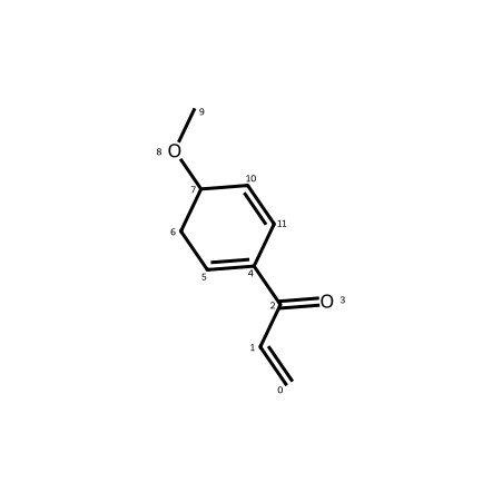 C=CC(=O)C1=CCC(OC)C=C1